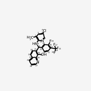 Cc1cc(Cl)cnc1NC(c1ccc(C(F)(F)F)c(F)c1)c1ccc2cccnc2c1O